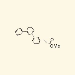 COC(=O)CCc1cccc(-c2cccc(-c3ccccc3)c2)c1